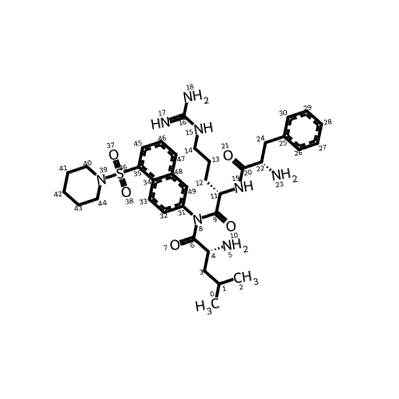 CC(C)C[C@@H](N)C(=O)N(C(=O)[C@H](CCCNC(=N)N)NC(=O)[C@@H](N)Cc1ccccc1)c1ccc2c(S(=O)(=O)N3CCCCC3)cccc2c1